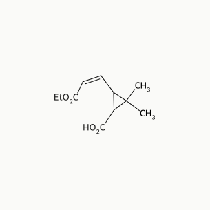 CCOC(=O)/C=C\C1C(C(=O)O)C1(C)C